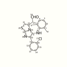 Cc1cccc(C)c1Nc1c(-c2ccccc2Cl)nc2scc(CC=O)n12